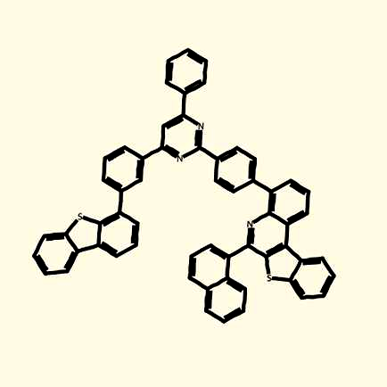 c1ccc(-c2cc(-c3cccc(-c4cccc5c4sc4ccccc45)c3)nc(-c3ccc(-c4cccc5c4nc(-c4cccc6ccccc46)c4sc6ccccc6c45)cc3)n2)cc1